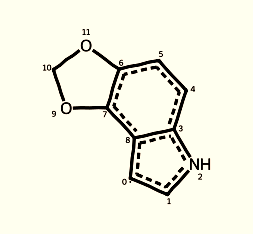 [c]1c[nH]c2ccc3c(c12)OCO3